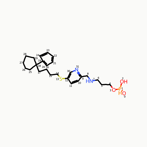 O=[PH](O)OCCCNCc1ccc(SCCCCC2(c3ccccc3)CCCCC2)cn1